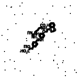 CCOC(Cc1ccc(CNc2ccc(OCCN3CCOc4ccccc43)cc2)cc1)C(=O)O.N=C(N)NCCC[C@H](N)C(=O)O